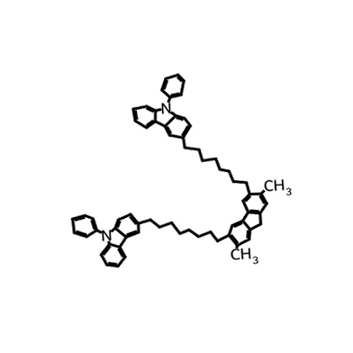 Cc1cc2c(cc1CCCCCCCCc1ccc3c(c1)c1ccccc1n3-c1ccccc1)-c1cc(CCCCCCCCc3ccc4c(c3)c3ccccc3n4-c3ccccc3)c(C)cc1C2